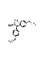 CCc1ccc(C(c2ccc(CC)cc2)[C@H](C)O)cc1